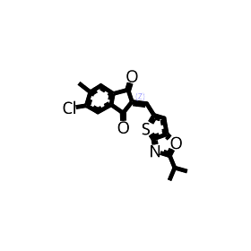 Cc1cc2c(cc1Cl)C(=O)/C(=C\c1cc3oc(C(C)C)nc3s1)C2=O